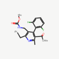 COC(=O)c1c(C)nc(CC(C)C)c(CNC(=O)OC(C)(C)C)c1-c1c(F)cccc1F